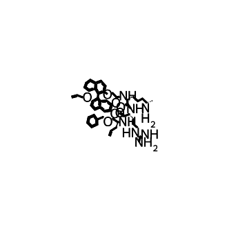 C=CCOc1ccc2ccccc2c1-c1c(OCC(=O)N[C@H](CCC[C@H](C)N)C(=O)N[C@H](CCCNC(=N)N)C(=O)N[C@@H](CC=C)C(=O)OCc2ccccc2)ccc2ccccc12